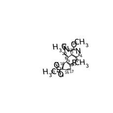 COc1ncc(C)c2c(-c3cc(S(C)(=O)=O)ccc3F)cn(C)c12